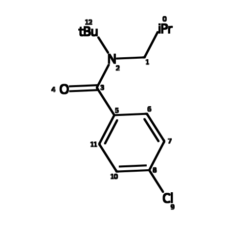 CC(C)CN(C(=O)c1ccc(Cl)cc1)C(C)(C)C